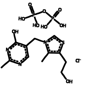 Cc1ncc(C[n+]2csc(CCO)c2C)c(O)n1.O=P(O)(O)OP(=O)(O)O.[Cl-]